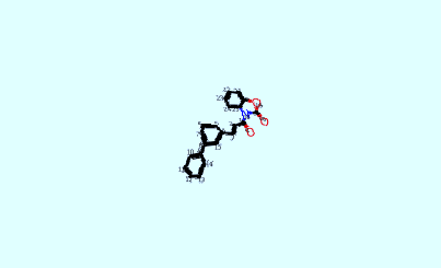 O=C(/C=C/c1cccc(-c2ccccc2)c1)n1c(=O)oc2ccccc21